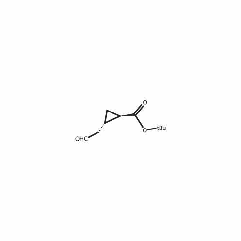 CC(C)(C)OC(=O)[C@@H]1C[C@H]1CC=O